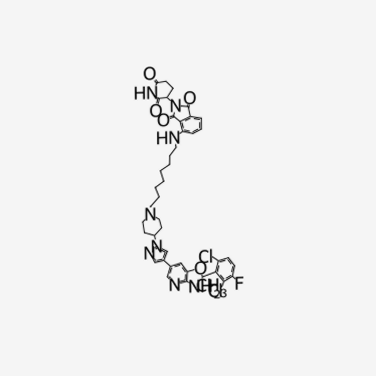 CC(Oc1cc(-c2cnn(C3CCN(CCCCCCCCNc4cccc5c4C(=O)N(C4CCC(=O)NC4=O)C5=O)CC3)c2)cnc1N)c1c(Cl)ccc(F)c1Cl